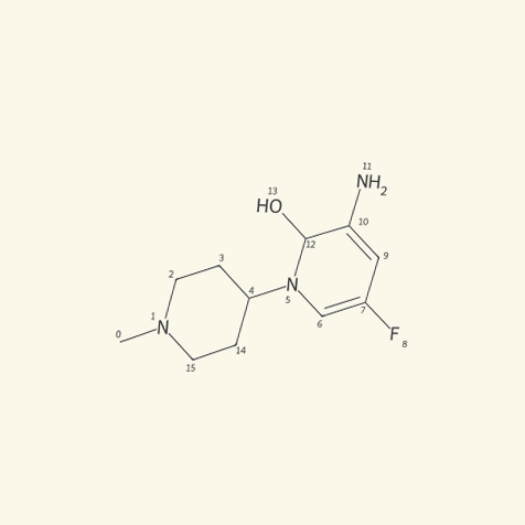 CN1CCC(N2C=C(F)C=C(N)C2O)CC1